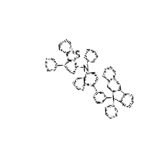 c1ccc(-c2ccc(N(c3ccccc3)c3ccc(-c4cccc(C5(c6ccccc6)c6ccccc6-c6cc7ccccc7cc65)c4)c4ccccc34)c3sc4ccccc4c23)cc1